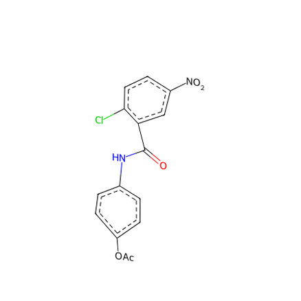 CC(=O)Oc1ccc(NC(=O)c2cc([N+](=O)[O-])ccc2Cl)cc1